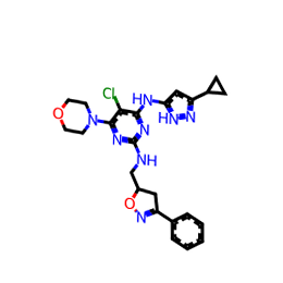 Clc1c(Nc2cc(C3CC3)n[nH]2)nc(NCC2CC(c3ccccc3)=NO2)nc1N1CCOCC1